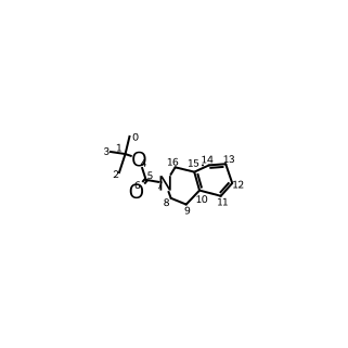 CC(C)(C)OC(=O)N1CCc2ccc[c]c2C1